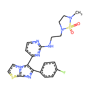 CN1CCN(CCNc2nccc(-c3c(-c4ccc(F)cc4)nc4sccn34)n2)S1(=O)=O